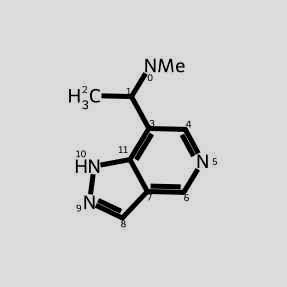 CNC(C)c1cncc2cn[nH]c12